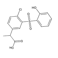 CC(C(=O)O)c1ccc(Cl)c(S(=O)(=O)c2ccccc2O)c1